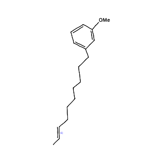 C/C=C/CCCCCCCc1cccc(OC)c1